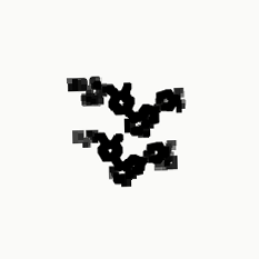 Cc1cc(-c2ncnn3cc(N4CCC(F)(F)C4)cc23)ccc1CN.Cc1cc(-c2ncnn3cc(N4CCC(F)(F)C4)cc23)ccc1CN(C(=O)O)C(C)(C)C.Cl